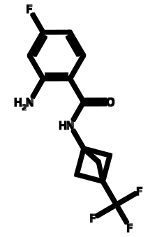 Nc1cc(F)ccc1C(=O)NC12CC(C(F)(F)F)(C1)C2